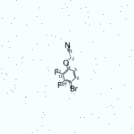 N#CCOc1ccc(Br)c(F)c1F